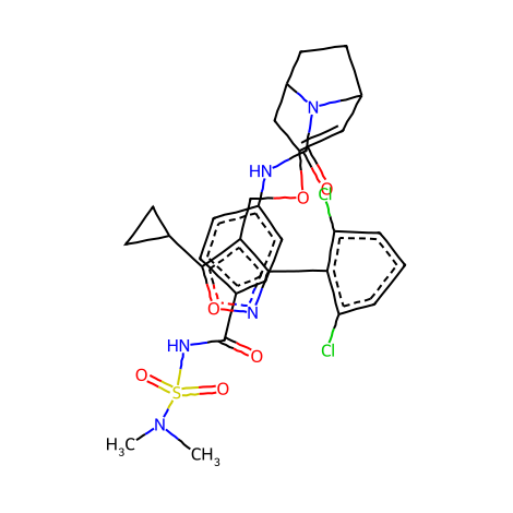 CN(C)S(=O)(=O)NC(=O)c1ccc(NC(=O)N2C3C=C(OCc4c(-c5c(Cl)cccc5Cl)noc4C4CC4)CC2CC3)cc1